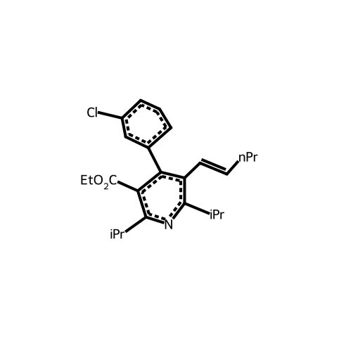 CCCC=Cc1c(C(C)C)nc(C(C)C)c(C(=O)OCC)c1-c1cccc(Cl)c1